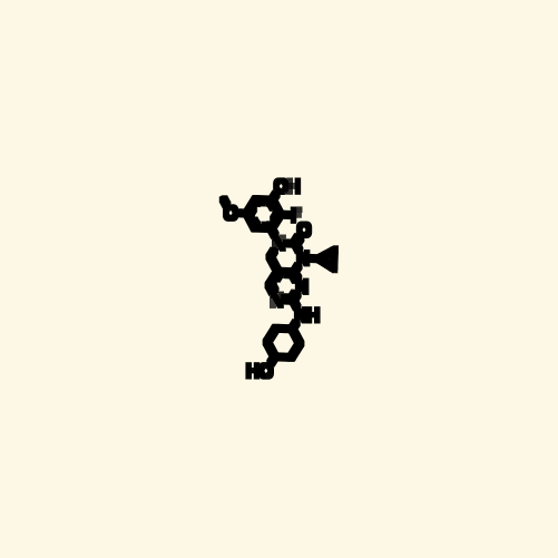 COc1cc(O)c(F)c(N2Cc3cnc(NC4CCC(O)CC4)nc3N(C3CC3)C2=O)c1